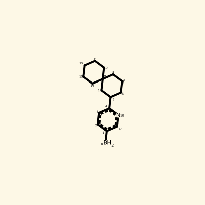 Bc1ccc(C2CCCC3(CCCCC3)C2)nc1